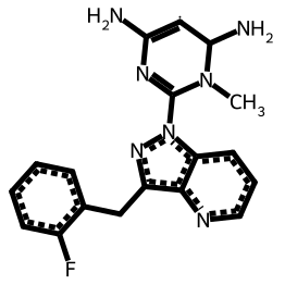 CN1C(n2nc(Cc3ccccc3F)c3ncccc32)=NC(N)=[C]C1N